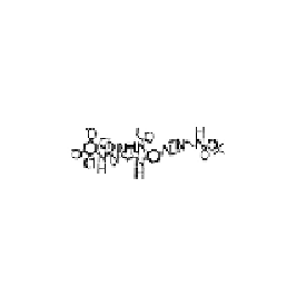 C=CC(=O)Nc1cc(N2CCN(CCNC(=O)OC(C)(C)C)CC2)ccc1Nc1cc(N(C)C(=O)Nc2c(Cl)c(OC)cc(OC)c2Cl)ncn1